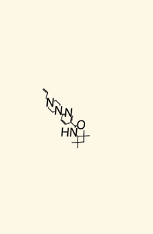 C=CCN1CCN(c2ccc(C(=O)NC3C(C)(C)CC3(C)C)cn2)CC1